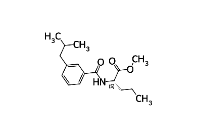 CCC[C@H](NC(=O)c1cccc(CC(C)C)c1)C(=O)OC